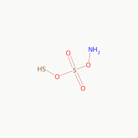 NOS(=O)(=O)OS